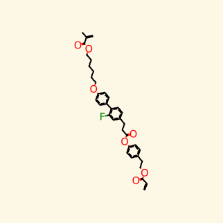 C=CC(=O)OCCc1ccc(OC(=O)CCc2ccc(-c3ccc(OCCCCCCOC(=O)C(=C)C)cc3)c(F)c2)cc1